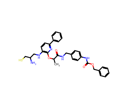 CC(Oc1nc(-c2ccccc2)ccc1NCC(N)CS)C(=O)NCc1ccc(NC(=O)OCc2ccccc2)cc1